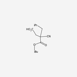 CCC(C)OC(=O)C(C#N)(CC(=O)O)CC(C)C